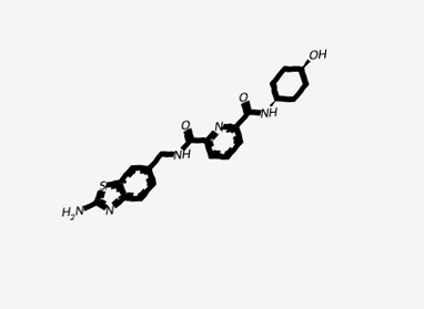 Nc1nc2ccc(CNC(=O)c3cccc(C(=O)N[C@H]4CC[C@H](O)CC4)n3)cc2s1